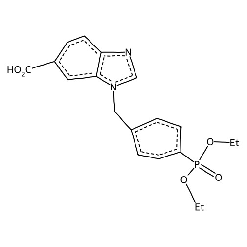 CCOP(=O)(OCC)c1ccc(Cn2cnc3ccc(C(=O)O)cc32)cc1